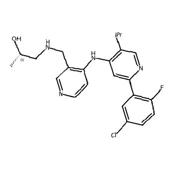 CC(C)c1cnc(-c2cc(Cl)ccc2F)cc1Nc1ccncc1CNC[C@H](C)O